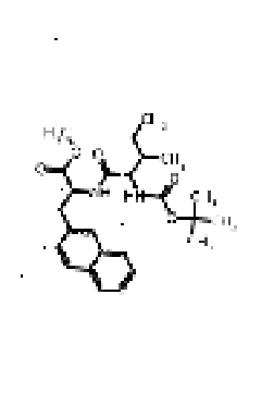 CCC(C)C(NC(=O)OC(C)(C)C)C(=O)NC(Cc1ccc2ccccc2c1)C(=O)OC